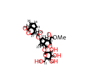 COC(=O)C1=CO[C@@H](O[C@@H]2O[C@H](CO)[C@@H](O)[C@H](O)[C@H]2O)[C@@H]2[C@@H](C)[C@@H](OC(=O)[C@@H]3COC(=O)[C@H]4[C@@H]3CC[C@@H]4C)C[C@H]12